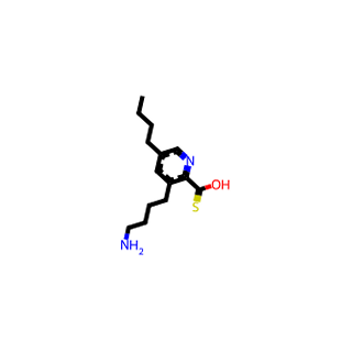 CCCCc1cnc(C(O)=S)c(CCCCN)c1